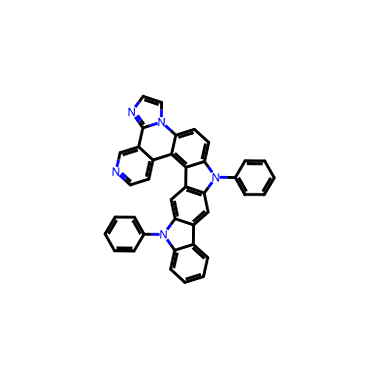 c1ccc(-n2c3ccccc3c3cc4c(cc32)c2c3c5ccncc5c5nccn5c3ccc2n4-c2ccccc2)cc1